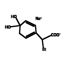 CCC(C(=O)[O-])C1=CCC(O)(O)C=C1.[Na+]